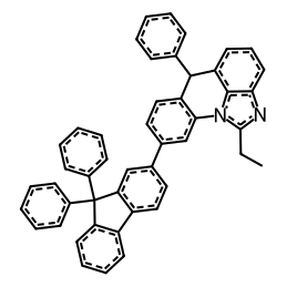 CCc1nc2cccc3c2n1-c1cc(-c2ccc4c(c2)C(c2ccccc2)(c2ccccc2)c2ccccc2-4)ccc1C3c1ccccc1